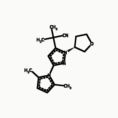 Cc1ccc(C)n1-c1cc(C(C)(C)C#N)n([C@@H]2CCOC2)n1